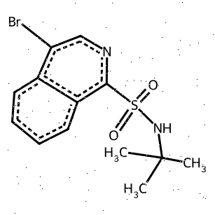 CC(C)(C)NS(=O)(=O)c1ncc(Br)c2ccccc12